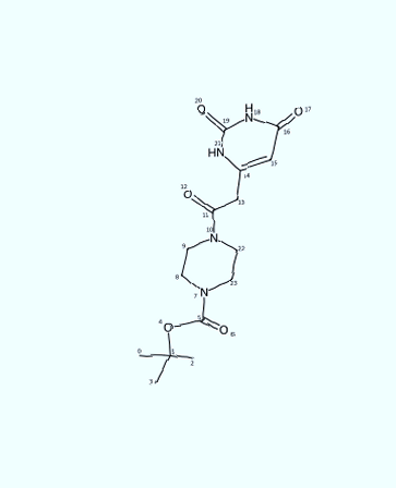 CC(C)(C)OC(=O)N1CCN(C(=O)Cc2cc(=O)[nH]c(=O)[nH]2)CC1